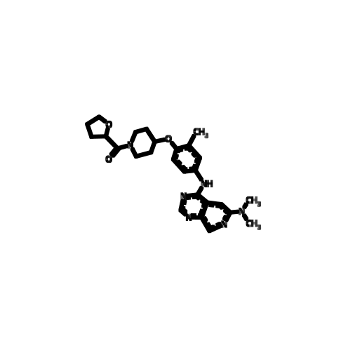 Cc1cc(Nc2ncnc3cnc(N(C)C)cc23)ccc1OC1CCN(C(=O)C2CCCO2)CC1